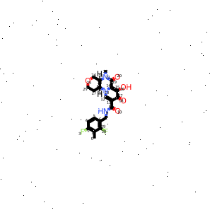 Cc1c(F)ccc(CNC(=O)c2cn3c(c(O)c2=O)C(=O)N(C)[C@@H]2COCC[C@H]23)c1F